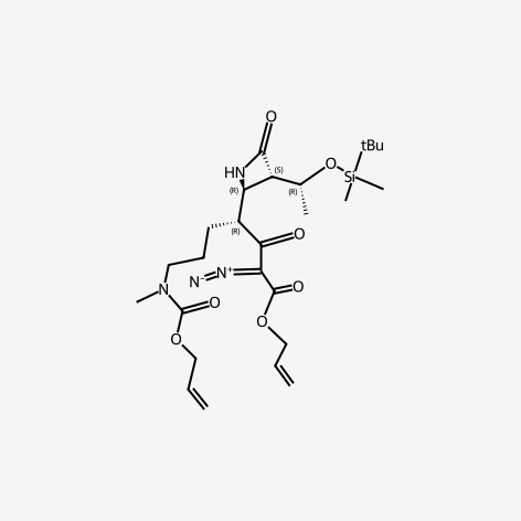 C=CCOC(=O)C(=[N+]=[N-])C(=O)[C@H](CCCN(C)C(=O)OCC=C)[C@H]1NC(=O)[C@@H]1[C@@H](C)O[Si](C)(C)C(C)(C)C